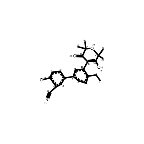 CCc1ccc(-c2ccc(Cl)c(C#N)c2)cc1C1=C(O)C(C)(C)OC(C)(C)C1=O